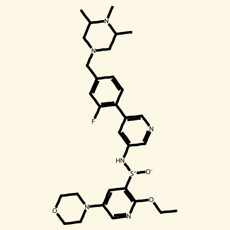 CCOc1ncc(N2CCOCC2)cc1[S+]([O-])Nc1cncc(-c2ccc(CN3CC(C)N(C)C(C)C3)cc2F)c1